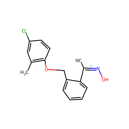 Cc1cc(Cl)ccc1OCc1ccccc1/C(C#N)=N\O